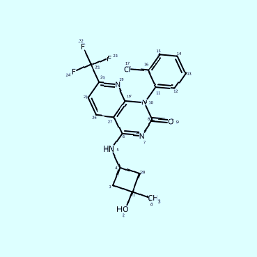 CC1(O)CC(Nc2nc(=O)n(-c3ccccc3Cl)c3nc(C(F)(F)F)ccc23)C1